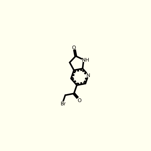 O=C1Cc2cc(C(=O)CBr)cnc2N1